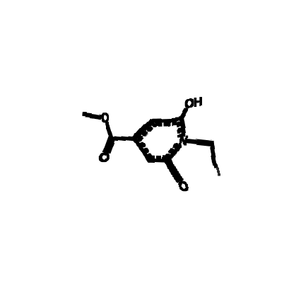 COC(=O)c1cc(O)n(CI)c(=O)c1